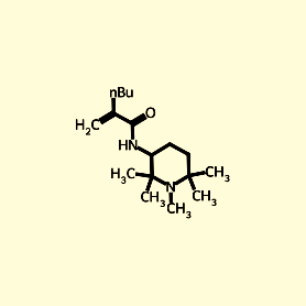 C=C(CCCC)C(=O)NC1CCC(C)(C)N(C)C1(C)C